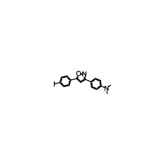 CN(C)c1ccc(-c2cc(-c3ccc(I)cc3)on2)cc1